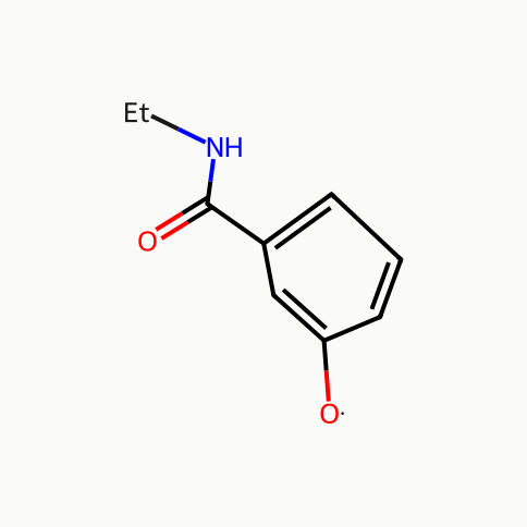 CCNC(=O)c1cccc([O])c1